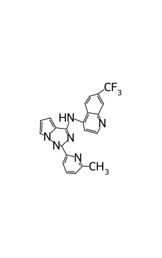 Cc1cccc(-c2nc(Nc3ccnc4cc(C(F)(F)F)ccc34)c3cccn3n2)n1